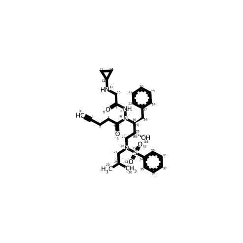 C#CCCC(=O)N(NC(=O)CNC1CC1)[C@@H](Cc1ccccc1)[C@H](O)CN(CC(C)C)S(=O)(=O)c1ccccc1